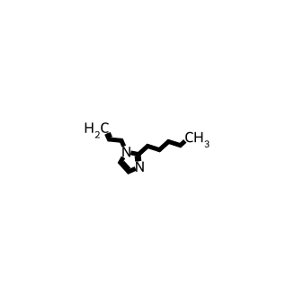 C=CCn1ccnc1CCCCC